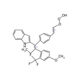 CC/C(=C(/c1ccc(/C=C/OOO)cc1)c1cc2ccccc2[nH]1)c1ccc(OC)cc1C(F)(F)F